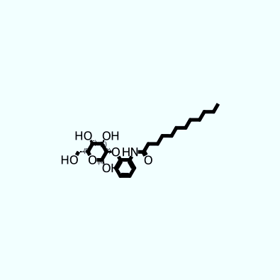 CCCCCCCCCCCC(=O)Nc1ccccc1O[C@@H]1[C@@H](O)[C@H](O)[C@@H](CO)O[C@H]1O